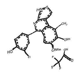 COc1cc2c(-c3ccc(O)c(Cl)c3)nc3[nH]ncc3c2c(C)c1OC.O=C(O)C(F)(F)F